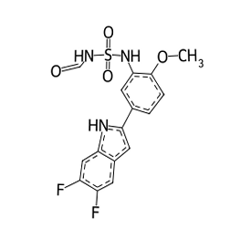 COc1ccc(-c2cc3cc(F)c(F)cc3[nH]2)cc1NS(=O)(=O)NC=O